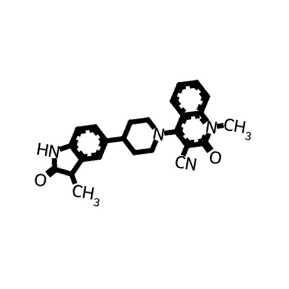 CC1C(=O)Nc2ccc(C3CCN(c4c(C#N)c(=O)n(C)c5ccccc45)CC3)cc21